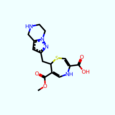 COC(=O)C1=CNC(C(=O)O)=CSC1Cc1cc2n(n1)CCNC2